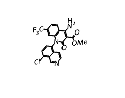 COC(=O)c1c(N)c2ccc(C(F)(F)F)cc2n(-c2ccc(Cl)c3cnccc23)c1=O